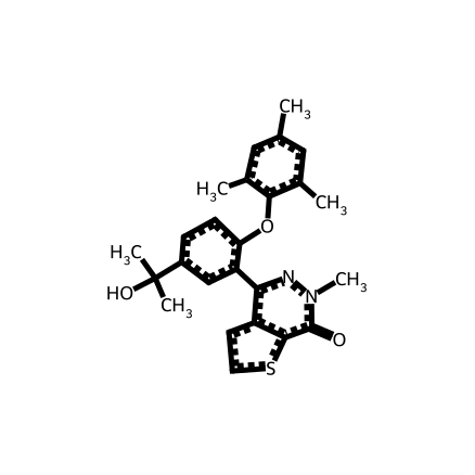 Cc1cc(C)c(Oc2ccc(C(C)(C)O)cc2-c2nn(C)c(=O)c3sccc23)c(C)c1